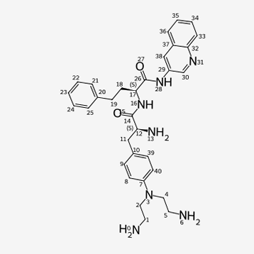 NCCN(CCN)c1ccc(C[C@H](N)C(=O)N[C@@H](CCc2ccccc2)C(=O)Nc2cnc3ccccc3c2)cc1